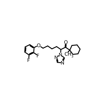 CC1(C(=O)C(CCCCOc2cccc(F)c2F)n2cncn2)CCCCC1